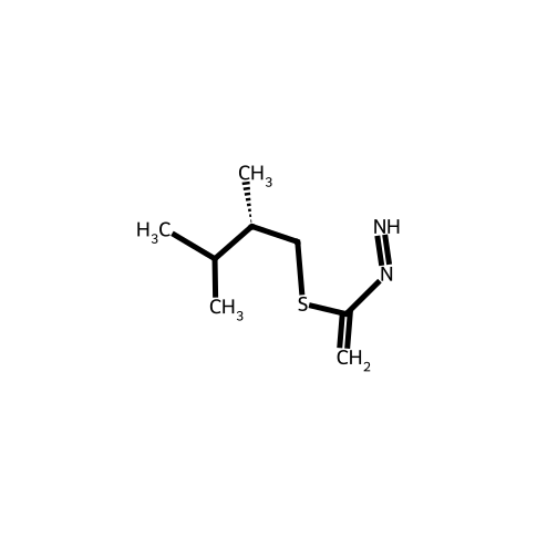 C=C(N=N)SC[C@@H](C)C(C)C